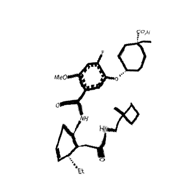 CC[C@@H]1C=CC[C@@H](NC(=O)c2cc(O[C@H]3CC[C@@](C)(C(=O)O)CC3)c(F)cc2OC)[C@H]1C(=O)NCC1(C)CCC1